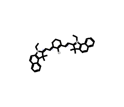 CCN1/C(=C/C=C2\CCCC(/C=C/C3=[N+](CC)c4c(ccc5ccccc45)C3(C)C)=C2Cl)C(C)(C)c2c1ccc1ccccc21